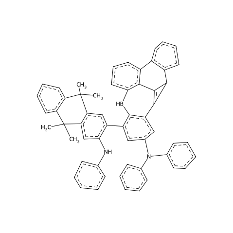 CC1(C)c2ccccc2C(C)(C)c2cc(-c3cc(N(c4ccccc4)c4ccccc4)cc4c3Bc3cccc5c3C3=C4C3c3ccccc3-5)c(Nc3ccccc3)cc21